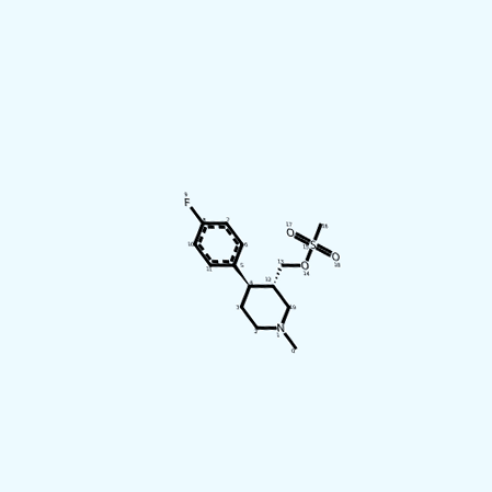 CN1CC[C@@H](c2ccc(F)cc2)[C@H](COS(C)(=O)=O)C1